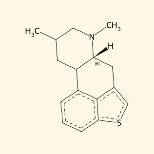 CC1CC2c3cccc4scc(c34)C[C@H]2N(C)C1